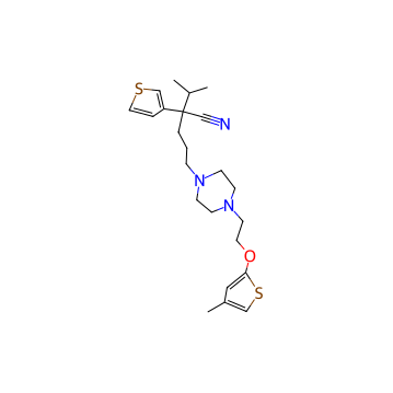 Cc1csc(OCCN2CCN(CCCC(C#N)(c3ccsc3)C(C)C)CC2)c1